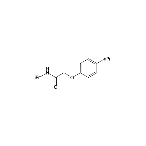 CCCc1ccc(OCC(=O)NC(C)C)cc1